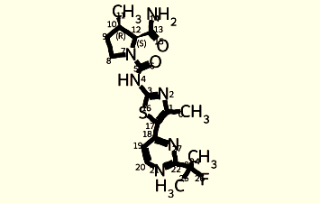 Cc1nc(NC(=O)N2CC[C@@H](C)[C@H]2C(N)=O)sc1-c1ccnc(C(C)(C)F)n1